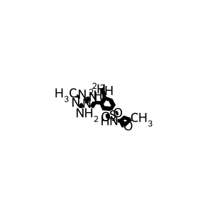 [2H]C([2H])([2H])c1ccc(S(=O)(=O)NC23COC(C)(C2)C3)cc1-c1cn2c(N)nc(C)nc2n1